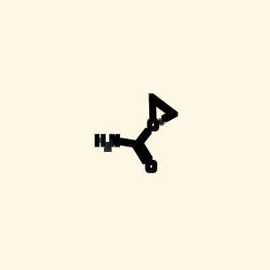 NC(=O)[O+]1CC1